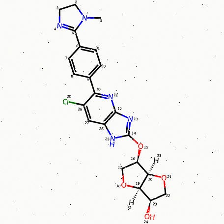 CN1CCN=C1c1ccc(-c2nc3nc(O[C@@H]4CO[C@H]5[C@@H]4OC[C@H]5O)[nH]c3cc2Cl)cc1